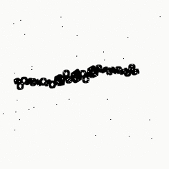 C=CC(=O)OCCOCCOCCOc1ccc(C(=O)Oc2ccc(OC(=O)c3ccc(OCCOCCOCCOC(=O)C=C)cc3)cc2)cc1